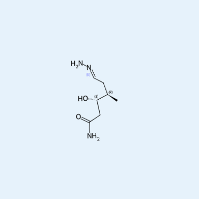 C[C@H](C/C=N/N)[C@@H](O)CC(N)=O